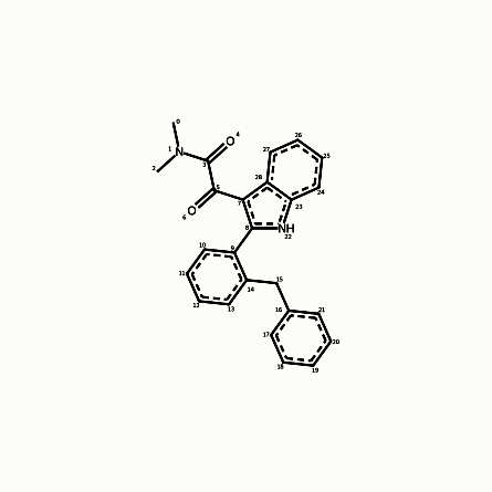 CN(C)C(=O)C(=O)c1c(-c2ccccc2Cc2ccccc2)[nH]c2ccccc12